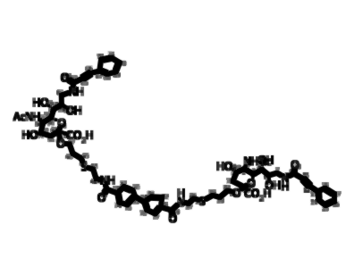 CC(=O)N[C@H]1[C@H]([C@H](O)[C@H](O)CNC(=O)C#Cc2ccccc2)O[C@@](OCCCSCCNC(=O)c2ccc(-c3ccc(C(=O)NCCSCCCO[C@]4(C(=O)O)C[C@H](O)[C@@H](NC(C)=O)[C@H]([C@H](O)[C@H](O)CNC(=O)C#Cc5ccccc5)O4)cc3)cc2)(C(=O)O)C[C@@H]1O